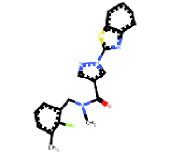 Cc1cccc(CN(C)C(=O)c2cnn(-c3nc4ccccc4s3)c2)c1F